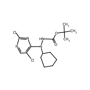 CC(C)(C)OC(=O)NN(c1nc(Cl)ncc1Cl)C1CCCCC1